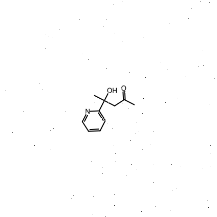 CC(=O)CC(C)(O)c1ccccn1